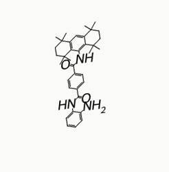 CC1(C)CCC(C)(C)c2c1cc1c(c2NC(=O)c2ccc(C(=O)Nc3ccccc3N)cc2)C(C)(C)CCC1(C)C